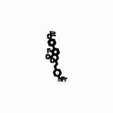 CCCC1CCC(CCC2Cc3ccc(-c4ccc(OCC)cc4)c(F)c3C(=O)O2)CC1